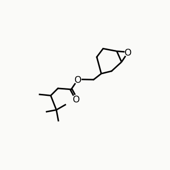 CC(CC(=O)OCC1CCC2OC2C1)C(C)(C)C